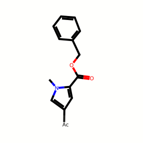 CC(=O)c1cc(C(=O)OCc2ccccc2)n(C)c1